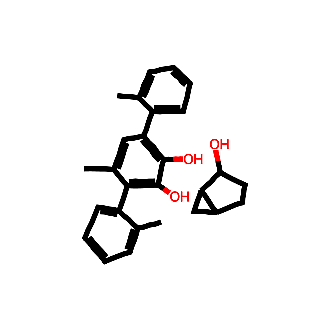 Cc1ccccc1-c1cc(C)c(-c2ccccc2C)c(O)c1O.OC1CCC2CC12